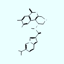 CN(C(=O)c1cc2ccc(C(F)F)cn2c1)[C@@H]1CNCc2[nH]c(=O)c3cc(F)c(F)cc3c21